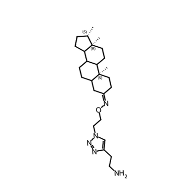 C[C@H]1CCC2C3CCC4CC(=NOCCn5cc(CCN)nn5)CC[C@]4(C)C3CC[C@@]21C